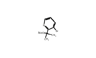 COC(C)(C)c1ncccc1Br